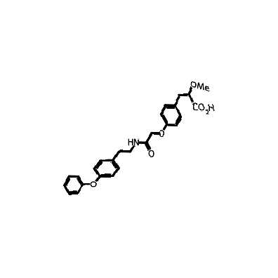 COC(Cc1ccc(OCC(=O)NCCc2ccc(Oc3ccccc3)cc2)cc1)C(=O)O